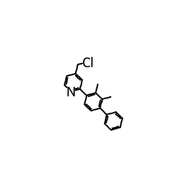 Cc1c(-c2ccccc2)ccc(-c2cc(CCl)ccn2)c1C